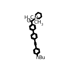 CCCCc1ccc(C#Cc2ccc(-c3ccc(C(=O)C(C)(C)N4CCCCC4)cc3)cc2)cc1